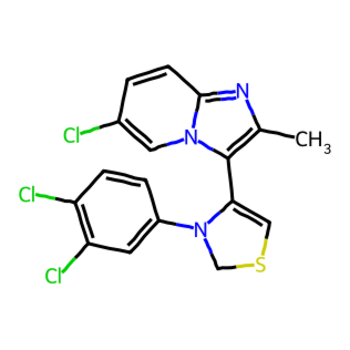 Cc1nc2ccc(Cl)cn2c1C1=CSCN1c1ccc(Cl)c(Cl)c1